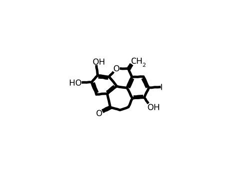 C=C1Oc2c(O)c(O)cc3c2-c2c1cc(I)c(O)c2CCC3=O